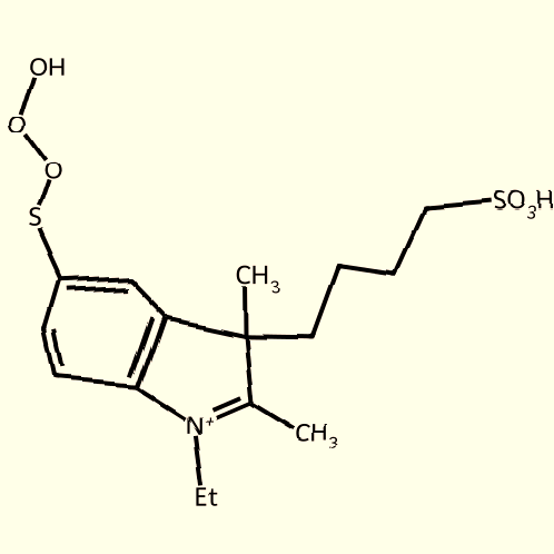 CC[N+]1=C(C)C(C)(CCCCS(=O)(=O)O)c2cc(SOOO)ccc21